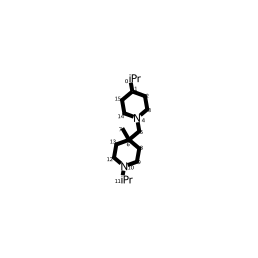 CC(C)C1CCN(CC2(C)CCN(C(C)C)CC2)CC1